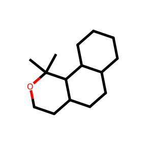 CC1(C)OCCC2CCC3CCCCC3C21